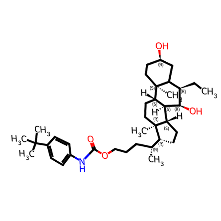 CC[C@@H]1C2C[C@H](O)CC[C@]2(C)[C@H]2CC[C@]3(C)[C@@H]([C@H](C)CCCOC(=O)Nc4ccc(C(C)(C)C)cc4)CC[C@H]3[C@@H]2[C@@H]1O